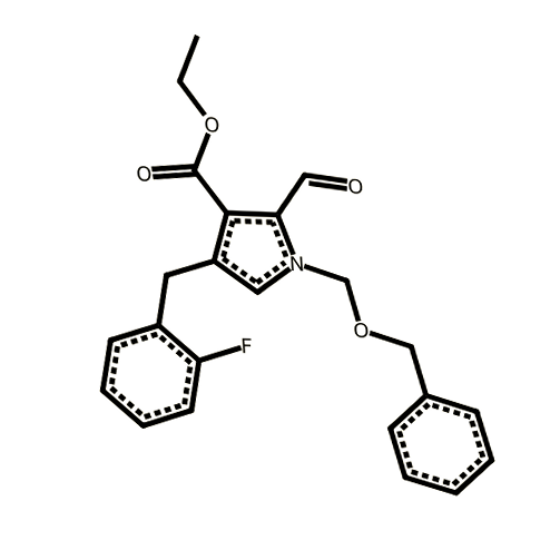 CCOC(=O)c1c(Cc2ccccc2F)cn(COCc2ccccc2)c1C=O